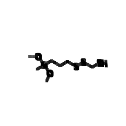 CO[Si](C)(CCCSSCS)OC